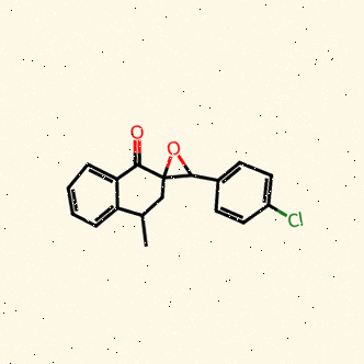 CC1CC2(OC2c2ccc(Cl)cc2)C(=O)c2ccccc21